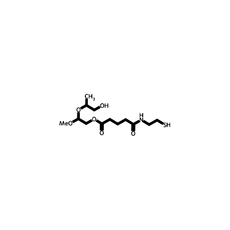 COC(COC(=O)CCCC(=O)NCCS)OC(C)CO